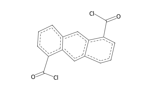 O=C(Cl)c1cccc2cc3c(C(=O)Cl)cccc3cc12